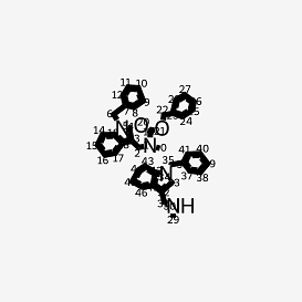 CN(Cc1cn(Cc2ccccc2)c2ccccc12)C(=O)OCc1ccccc1.CNCc1cn(Cc2ccccc2)c2ccccc12